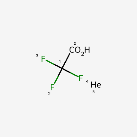 O=C(O)C(F)(F)F.[He]